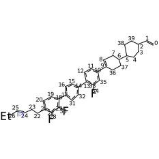 C=CC1CCC(C2CC=C(c3ccc(-c4ccc(-c5ccc(CC/C=C/CC)c(F)c5F)cc4)c(F)c3)CC2)CC1